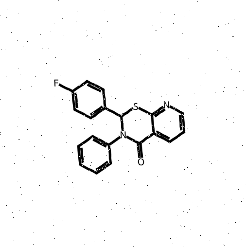 O=C1c2cccnc2SC(c2ccc(F)cc2)N1c1ccccc1